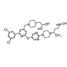 CNCCC(C)N1CCN(c2ncc(Oc3cc(CN4CCC(CC(O)O)CC4)cc(-c4cc(Cl)cc(Cl)c4)n3)cn2)CC1